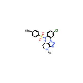 CC(=O)N1CCCc2c1nnn2-c1cc(Cl)ccc1NS(=O)(=O)c1ccc(C(C)(C)C)cc1